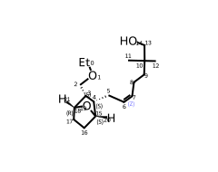 CCOC[C@@H]1[C@H](C/C=C\CCC(C)(C)CO)[C@@H]2CC[C@H]1O2